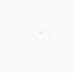 COc1cccc(CN2c3c(n(C)n(CCOCCO)c3=O)NC2Oc2cccc(OC(F)(F)F)c2)c1